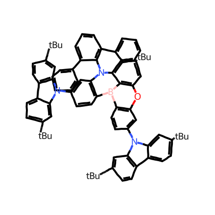 CC(C)(C)c1cc2c3c(c1)N(c1c(-c4ccccc4)cccc1-c1ccccc1)c1cc(-n4c5cc(C(C)(C)C)ccc5c5ccc(C(C)(C)C)cc54)ccc1B3c1ccc(-n3c4cc(C(C)(C)C)ccc4c4ccc(C(C)(C)C)cc43)cc1O2